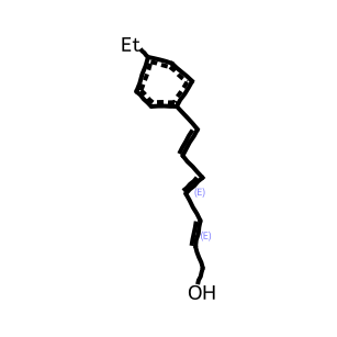 CCc1ccc(C=C/C=C/C=C/CO)cc1